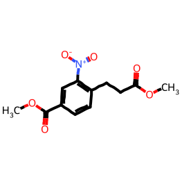 COC(=O)CCc1ccc(C(=O)OC)cc1[N+](=O)[O-]